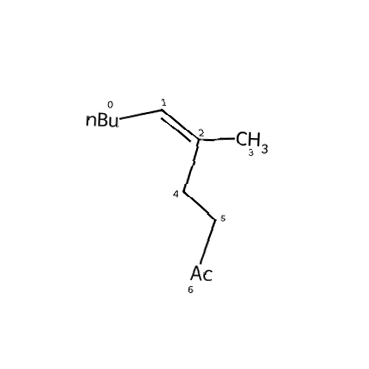 CCCCC=C(C)CCC(C)=O